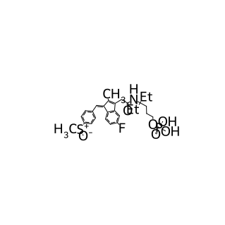 CCC(CC)(CCCOP(=O)(O)O)NC(=O)CC1=C(C)/C(=C/c2ccc([S+](C)[O-])cc2)c2ccc(F)cc21